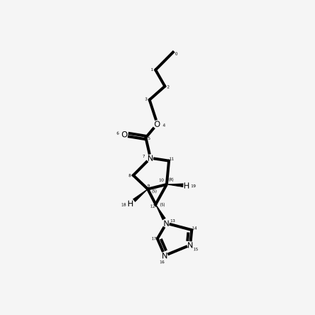 CCCCOC(=O)N1C[C@@H]2[C@H](C1)[C@H]2n1cnnc1